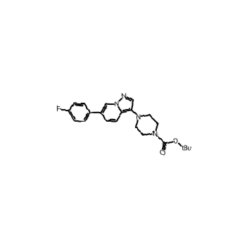 CC(C)(C)OC(=O)N1CCN(c2cnn3cc(-c4ccc(F)cc4)ccc23)CC1